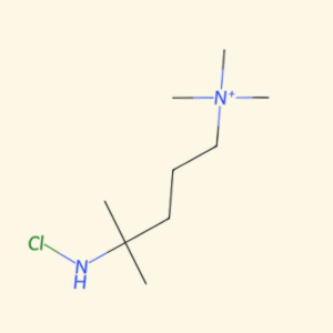 CC(C)(CCC[N+](C)(C)C)NCl